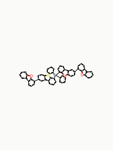 c1ccc([Si](c2ccccc2)(c2cccc3c2oc2ccc(-c4cccc5c4oc4ccccc45)cc23)c2cccc3c2sc2ccc(-c4cccc5c4oc4ccccc45)cc23)cc1